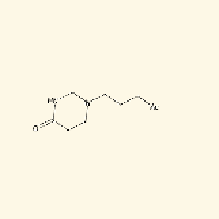 CC(=O)CCCN1CCC(=O)NC1